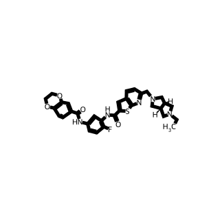 CCN1C[C@@H]2CN(Cc3ccc4cc(C(=O)Nc5cc(NC(=O)c6ccc7c(c6)OCCO7)ccc5F)sc4n3)C[C@@H]2C1